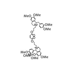 COc1ccc(CC2c3cc(OC)c(OC)cc3CC[N+]2(C)CCCOC(=O)/C=C\C(=O)OCCC[N+]2(C)CCc3cc(OC)c(OC)c(OC)c3C2c2ccc(OC)c(OC)c2)cc1OC